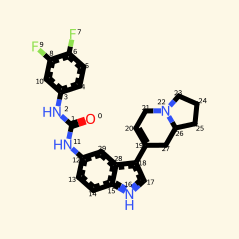 O=C(Nc1ccc(F)c(F)c1)Nc1ccc2[nH]cc(C3=CCN4CCCC4C3)c2c1